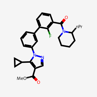 CCCC1CCCCN1C(=O)c1cccc(-c2cccc(-n3ncc(C(=O)OC)c3C3CC3)c2)c1F